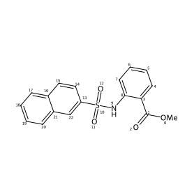 COC(=O)c1ccccc1NS(=O)(=O)c1ccc2ccccc2c1